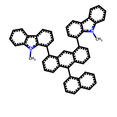 Cn1c2ccccc2c2cccc(-c3cccc4c(-c5cccc6ccccc56)c5cccc(-c6cccc7c8ccccc8n(C)c67)c5cc34)c21